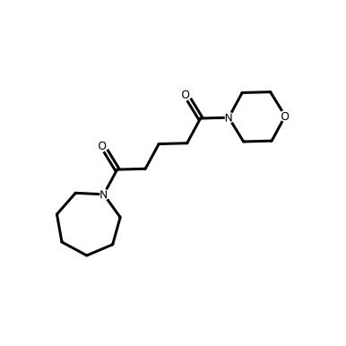 O=C(CCCC(=O)N1CCOCC1)N1CCCCCC1